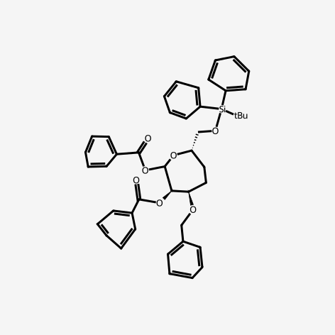 CC(C)(C)[Si](OC[C@@H]1CC[C@@H](OCc2ccccc2)[C@@H](OC(=O)c2ccccc2)C(OC(=O)c2ccccc2)O1)(c1ccccc1)c1ccccc1